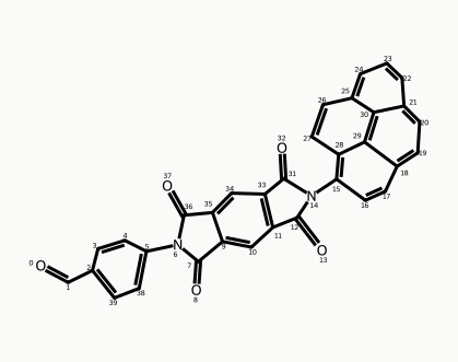 O=Cc1ccc(-n2c(=O)c3cc4c(=O)n(-c5ccc6ccc7cccc8ccc5c6c78)c(=O)c4cc3c2=O)cc1